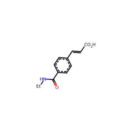 CCNC(=O)c1ccc(C=CC(=O)O)cc1